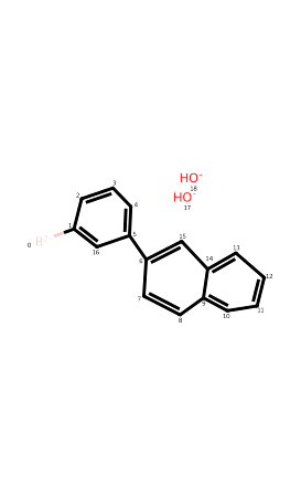 [B+2]c1cccc(-c2ccc3ccccc3c2)c1.[OH-].[OH-]